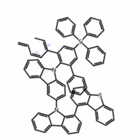 C=C/C=C\C(=C/C)c1cc([Si](c2ccccc2)(c2ccccc2)c2ccccc2)cc(-c2ccccc2)c1-n1c2ccccc2c2cc(-n3c4ccccc4c4cccc(-c5cccc6sc7ccccc7c56)c43)ccc21